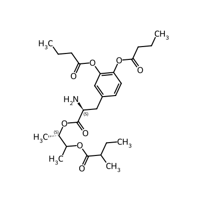 CCCC(=O)Oc1ccc(C[C@H](N)C(=O)O[C@@H](C)C(C)OC(=O)C(C)CC)cc1OC(=O)CCC